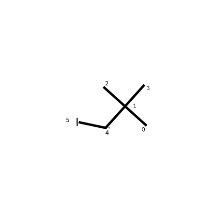 CC(C)(C)[CH]I